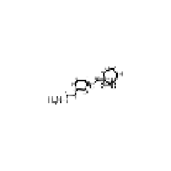 NCCCc1cccc(OCC2(C=O)CCCCCC2)c1